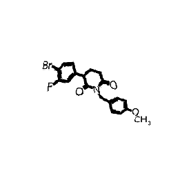 COc1ccc(CN2C(=O)CCC(c3ccc(Br)c(F)c3)C2=O)cc1